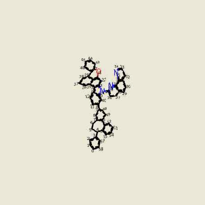 c1ccc(C2CCc3cc(-c4ccc5c6c7cccc8c7c(cc6n(-c6ccc7ccc9cccnc9c7n6)c5c4)Oc4ccccc4-8)ccc3-c3ccccc32)cc1